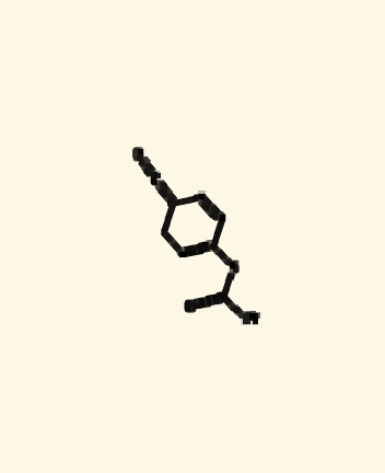 CC(C)C(=O)SC1=CCC(=C=O)[C]=C1